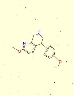 COc1ccc(C2CNCc3nc(OC)ccc32)cc1